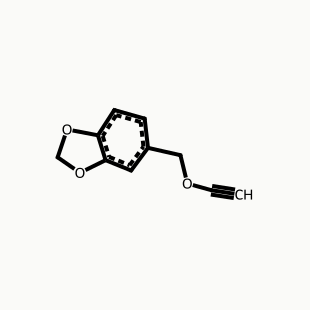 C#COCc1ccc2c(c1)OCO2